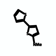 CNc1ccc(-c2cccs2)s1